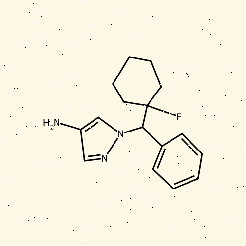 Nc1cnn(C(c2ccccc2)C2(F)CCCCC2)c1